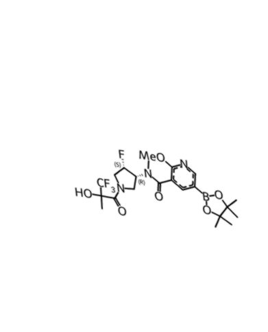 COc1ncc(B2OC(C)(C)C(C)(C)O2)cc1C(=O)N(C)[C@@H]1CN(C(=O)C(C)(O)C(F)(F)F)C[C@@H]1F